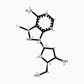 Nc1ncnc2c1N(I)NN2[C@H]1CC(O)[C@@H](CO)O1